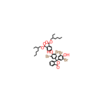 CCCCC(CC)COC(=O)c1ccccc1C(=O)OCC(CC)CCCC.O=C1OC(c2cc(Br)c(O)c(Br)c2)(c2cc(Br)c(O)c(Br)c2)c2ccccc21